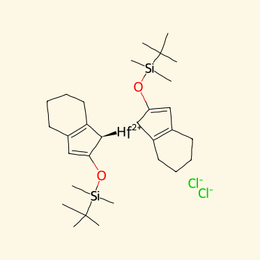 CC(C)(C)[Si](C)(C)OC1=CC2=C(CCCC2)[C@@H]1[Hf+2][C@H]1C(O[Si](C)(C)C(C)(C)C)=CC2=C1CCCC2.[Cl-].[Cl-]